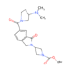 CN(C)C1CCN(C(=O)c2ccc3c(c2)C(=O)N(C2CN(C(=O)OC(C)(C)C)C2)C3)C1